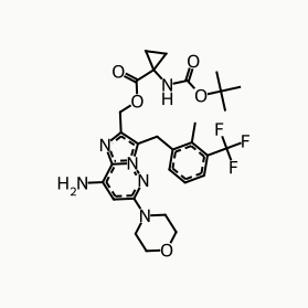 Cc1c(Cc2c(COC(=O)C3(NC(=O)OC(C)(C)C)CC3)nc3c(N)cc(N4CCOCC4)nn23)cccc1C(F)(F)F